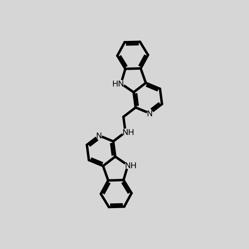 c1ccc2c(c1)[nH]c1c(CNc3nccc4c3[nH]c3ccccc34)nccc12